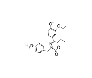 CCOc1cc(C2=NN(Cc3ccc(N)cc3)C(=O)OC2CC)ccc1OC